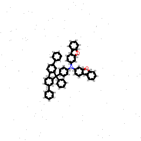 c1ccc(-c2ccc3c(c2)C(c2ccccc2)(c2ccc(N(c4ccc5c(c4)oc4ccccc45)c4ccc5c(c4)oc4ccccc45)cc2)c2cc(-c4ccccc4)ccc2-3)cc1